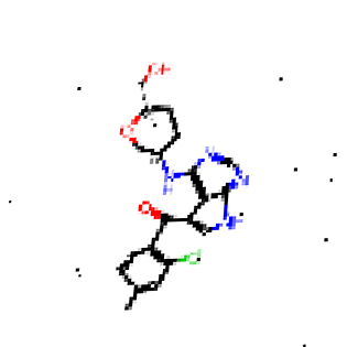 Cc1ccc(C(=O)c2c[nH]c3ncnc(N[C@@H]4CC[C@@H](CO)OC4)c23)c(Cl)c1